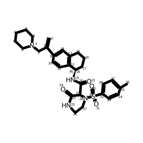 C=C(CN1CCCCC1)c1ccc2c(c1)CCC[C@H]2NC(=O)C1C(=O)NCCN1S(=O)(=O)c1ccc(C)cc1